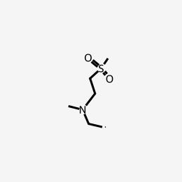 [CH2]CN(C)CCS(C)(=O)=O